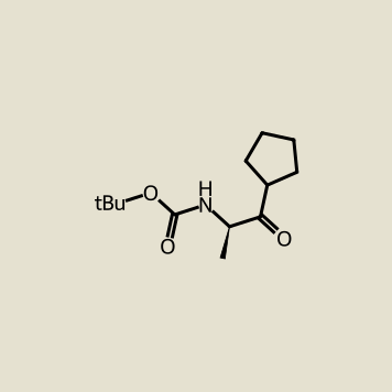 C[C@@H](NC(=O)OC(C)(C)C)C(=O)C1CCCC1